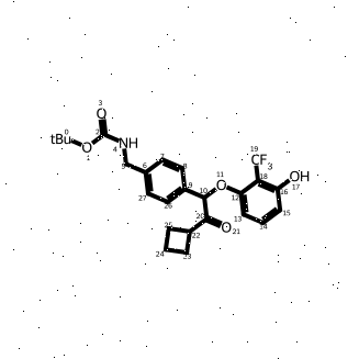 CC(C)(C)OC(=O)NCc1ccc(C(Oc2cccc(O)c2C(F)(F)F)C(=O)C2CCC2)cc1